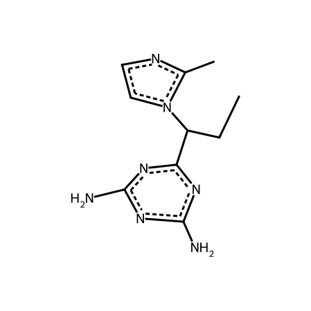 CCC(c1nc(N)nc(N)n1)n1ccnc1C